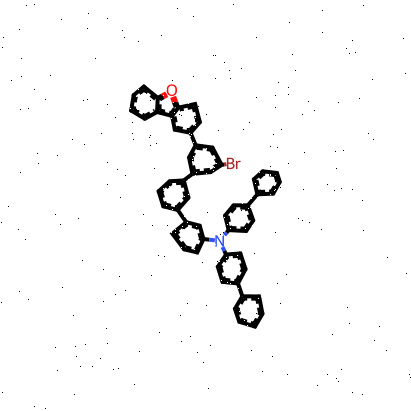 Brc1cc(-c2cccc(-c3cccc(N(c4ccc(-c5ccccc5)cc4)c4ccc(-c5ccccc5)cc4)c3)c2)cc(-c2ccc3oc4ccccc4c3c2)c1